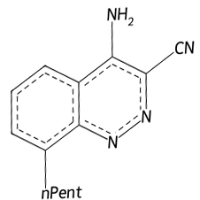 CCCCCc1cccc2c(N)c(C#N)nnc12